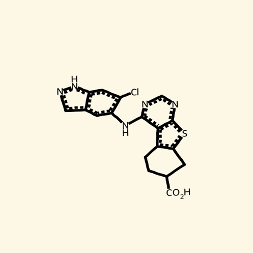 O=C(O)C1CCc2c(sc3ncnc(Nc4cc5cn[nH]c5cc4Cl)c23)C1